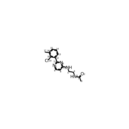 CC(=O)NCCNc1ccnc(-c2cccc(C)c2Cl)n1